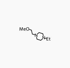 [CH2]CN1CCN(CCOC)CC1